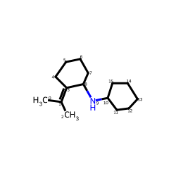 CC(C)=C1CCCCC1NC1CCCCC1